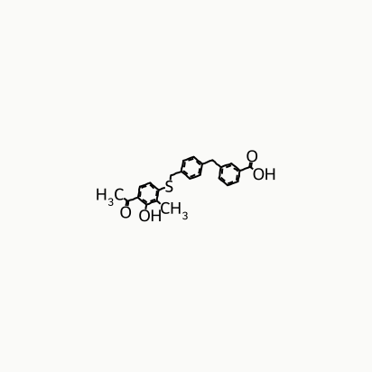 CC(=O)c1ccc(SCc2ccc(Cc3cccc(C(=O)O)c3)cc2)c(C)c1O